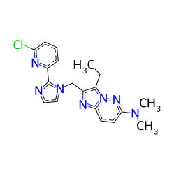 CCc1c(Cn2ccnc2-c2cccc(Cl)n2)nc2ccc(N(C)C)nn12